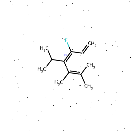 C=C/C(F)=C(\C(C)=C(C)C)C(C)C